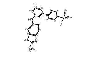 Cc1nc2ccc(Nc3cc(-c4ccc(C(F)(F)F)cc4)cnn3)cc2s1